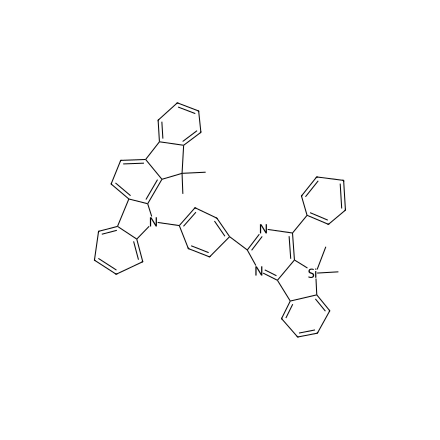 CC1(C)c2ccccc2-c2ccc3c4ccccc4n(-c4ccc(-c5nc(-c6ccccc6)c6c(n5)-c5ccccc5[Si]6(C)C)cc4)c3c21